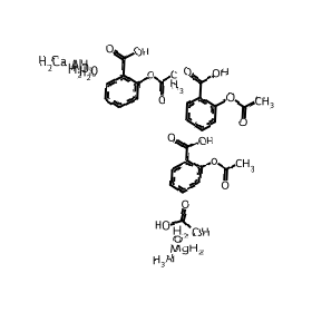 CC(=O)Oc1ccccc1C(=O)O.CC(=O)Oc1ccccc1C(=O)O.CC(=O)Oc1ccccc1C(=O)O.O.O.O.O=C(O)O.[AlH3].[AlH3].[CaH2].[MgH2]